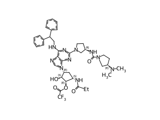 CCC(=O)N[C@H]1C[C@@H](n2cnc3c(NCC(c4ccccc4)c4ccccc4)nc(N4CC[C@@H](NC(=O)N5CC[C@@H](N(C)C)C5)C4)nc32)[C@H](O)[C@@H]1OC(=O)C(F)(F)F